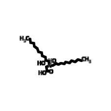 CCCCCCCCCCC(O)CN(CC(=O)O)CC(O)CCCCCCCCCC